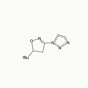 CC(C)(C)C1CC(n2ccnn2)=NO1